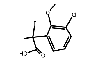 COc1c(Cl)cccc1C(C)(F)C(=O)O